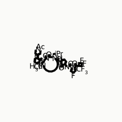 CC(=O)N1CC=C(c2ccc(Cl)cc2C[C@H]2C(=O)N(C)CCCCCCC[C@H](n3cccc(NC(=O)[C@@H]4C[C@@H](F)CN4C(=O)C4(C(F)(F)F)CC(F)(F)C4)c3=O)C(=O)N[C@@H](CC(C)C)C(=O)N2C)CC1